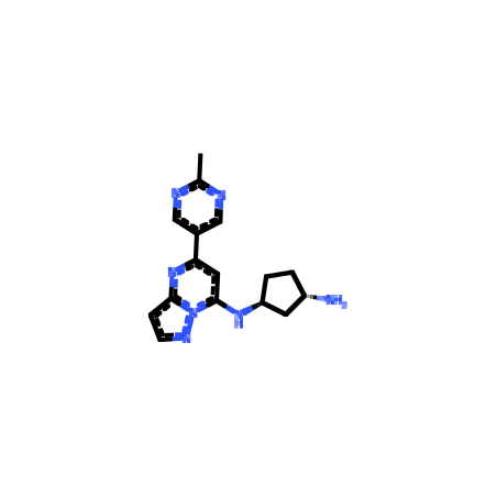 Cc1ncc(-c2cc(N[C@H]3CC[C@H](N)C3)n3nccc3n2)cn1